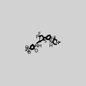 COc1cc(S(C)(=O)=O)ccc1NCC#Cc1sc2c(NC3CCN(C)CC3(F)F)cccc2c1CC(F)(F)F